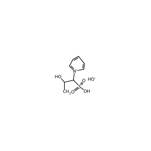 CC(O)C([n+]1ccccc1)S(=O)(=O)O.[OH-]